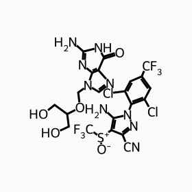 N#Cc1nn(-c2c(Cl)cc(C(F)(F)F)cc2Cl)c(N)c1[S+]([O-])C(F)(F)F.Nc1nc2c(ncn2COC(CO)CO)c(=O)[nH]1